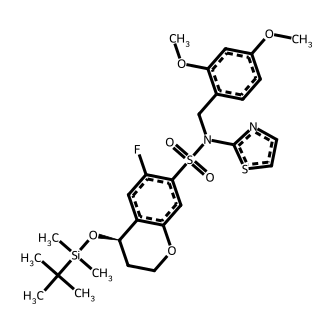 COc1ccc(CN(c2nccs2)S(=O)(=O)c2cc3c(cc2F)[C@H](O[Si](C)(C)C(C)(C)C)CCO3)c(OC)c1